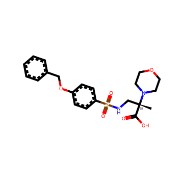 C[C@](CNS(=O)(=O)c1ccc(OCc2ccccc2)cc1)(C(=O)O)N1CCOCC1